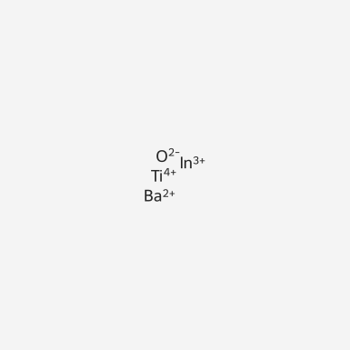 [Ba+2].[In+3].[O-2].[Ti+4]